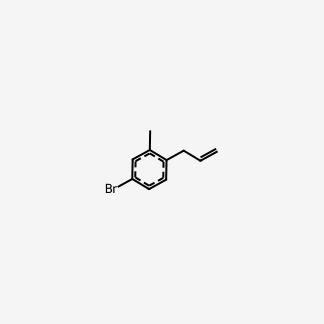 C=CCc1ccc(Br)cc1C